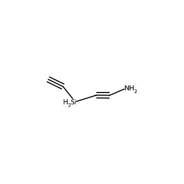 C#C[SiH2]C#CN